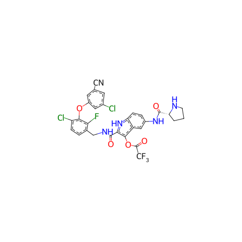 N#Cc1cc(Cl)cc(Oc2c(Cl)ccc(CNC(=O)c3[nH]c4ccc(NC(=O)[C@H]5CCCN5)cc4c3OC(=O)C(F)(F)F)c2F)c1